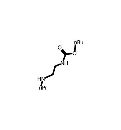 CCCCOC(=O)NCCNCCC